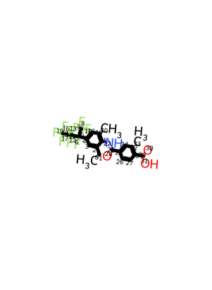 CCc1cc(C(F)(C(F)(F)F)C(F)(F)C(F)(F)F)cc(C)c1NC(=O)c1ccc(C(=O)O)c(C)c1